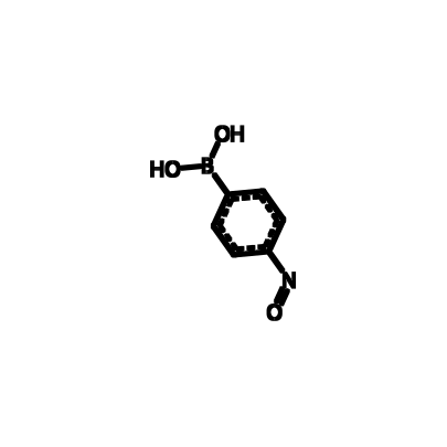 O=Nc1ccc(B(O)O)cc1